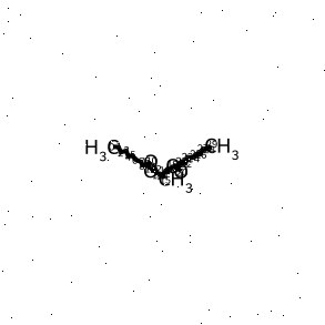 CCCCCCCCCC(=O)OCCC(C)CCOC(=O)CCCCCCCCC